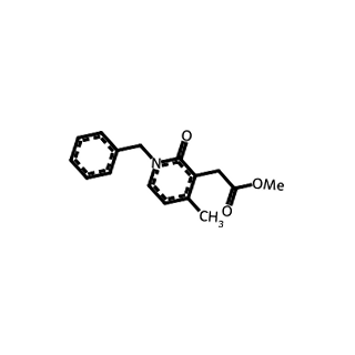 COC(=O)Cc1c(C)ccn(Cc2ccccc2)c1=O